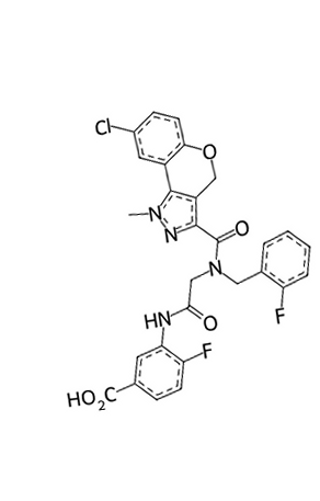 Cn1nc(C(=O)N(CC(=O)Nc2cc(C(=O)O)ccc2F)Cc2ccccc2F)c2c1-c1cc(Cl)ccc1OC2